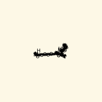 CCN(CC)c1ccc(NC(=O)c2cccc(CCCOCCOCCOCCOCCNC(=O)c3cscn3)c2)c(-c2cc(C(=O)N[C@H]3CCCc4ccccc43)ccn2)c1